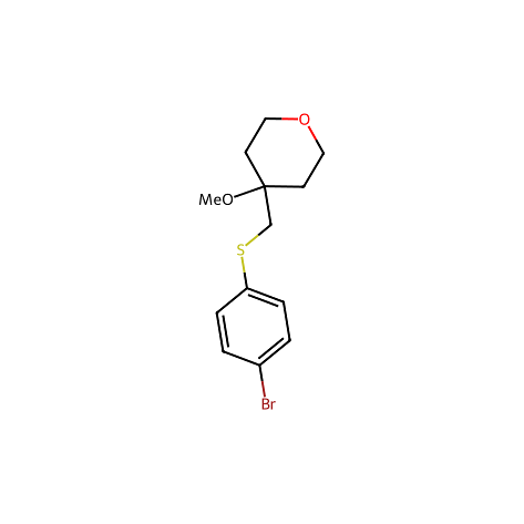 COC1(CSc2ccc(Br)cc2)CCOCC1